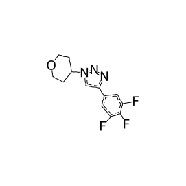 Fc1cc(-c2cn(C3CCOCC3)nn2)cc(F)c1F